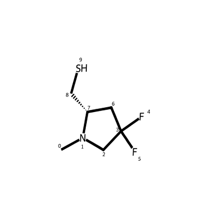 CN1CC(F)(F)C[C@H]1CS